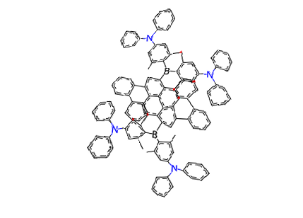 Cc1cc(N(c2ccccc2)c2ccccc2)cc(C)c1B(c1c(C)cc(N(c2ccccc2)c2ccccc2)cc1C)c1cc(-c2ccccc2-c2ccccc2)c2ccc3c(B(c4c(C)cc(N(c5ccccc5)c5ccccc5)cc4C)c4c(C)cc(N(c5ccccc5)c5ccccc5)cc4C)cc(-c4ccccc4-c4ccccc4)c4ccc1c2c34